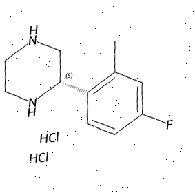 Cc1cc(F)ccc1[C@H]1CNCCN1.Cl.Cl